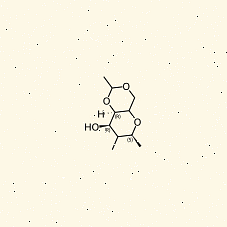 CC1OCC2O[C@@H](C)C(C)[C@@H](O)[C@H]2O1